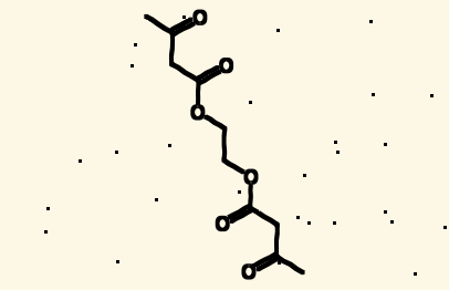 CC(=O)CC(=O)OCCOC(=O)CC(C)=O